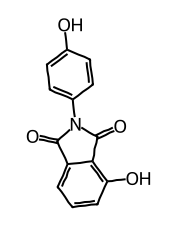 O=C1c2cccc(O)c2C(=O)N1c1ccc(O)cc1